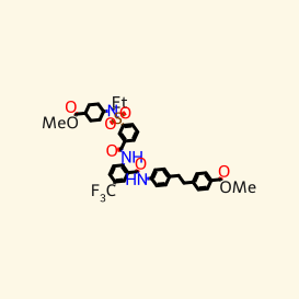 CCN(C1CCC(C(=O)OC)CC1)S(=O)(=O)c1cccc(C(=O)Nc2ccc(C(F)(F)F)cc2C(=O)Nc2ccc(CCc3ccc(C(=O)OC)cc3)cc2)c1